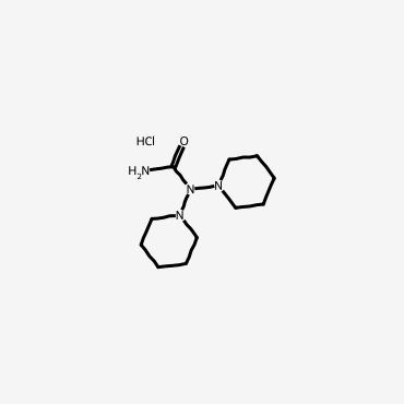 Cl.NC(=O)N(N1CCCCC1)N1CCCCC1